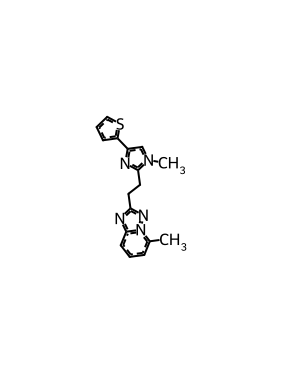 Cc1cccc2nc(CCc3nc(-c4cccs4)cn3C)nn12